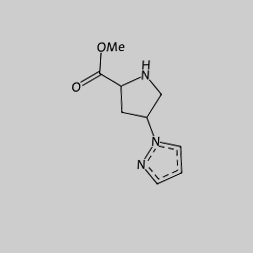 COC(=O)C1CC(n2cccn2)CN1